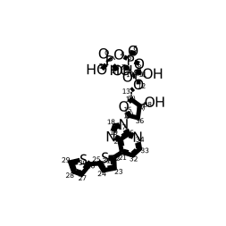 O=P(O)(O)OP(=O)(O)OP(=O)(O)OC[C@H]1O[C@@H](n2cnc3c(-c4ccc(-c5cccs5)s4)ccnc32)C[C@H]1O